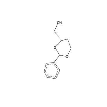 OC[C@@H]1CCOC(c2ccccc2)O1